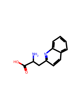 NC(Cc1ccc2ccccc2n1)C(=O)O